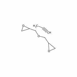 C#CC.C(OCC1CO1)C1CO1